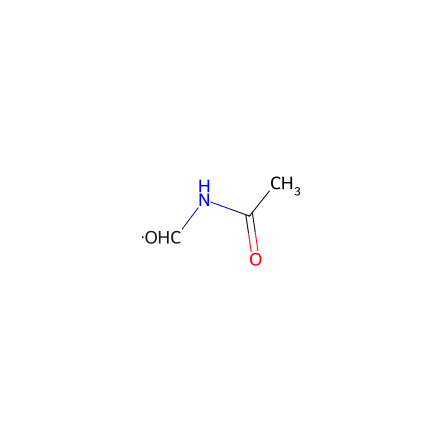 CC(=O)N[C]=O